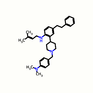 CC(C)=CCNc1ccc(CCc2ccccc2)cc1C1CCN(Cc2ccc(N(C)C)cc2)CC1